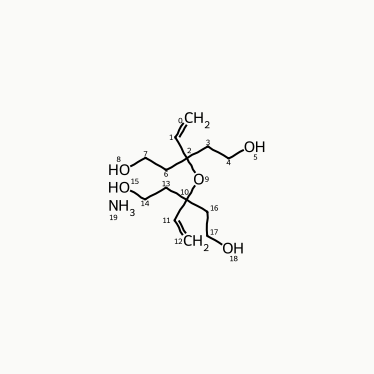 C=CC(CCO)(CCO)OC(C=C)(CCO)CCO.N